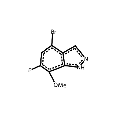 COc1c(F)cc(Br)c2cn[nH]c12